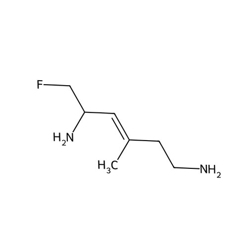 C/C(=C\C(N)CF)CCN